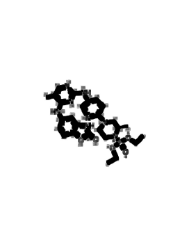 CCOP(=O)(OCC)N1CCN(c2ccc(Nc3ncc(C)c(Nc4ccc5oc(=O)[nH]c5c4)n3)cn2)C[C@H]1C